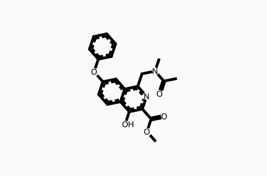 COC(=O)c1nc(CN(C)C(C)=O)c2cc(Oc3ccccc3)ccc2c1O